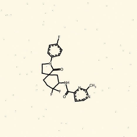 Cc1nccc(C(=O)NC2CC3(CCN(c4ccc(F)cc4)C3=O)CCC2(F)F)n1